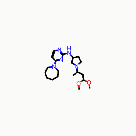 COC(CC(C)N1CCC(Nc2nccc(N3CCCCCC3)n2)C1)OC